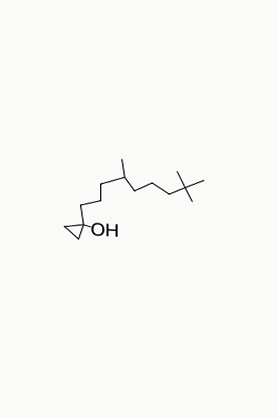 CC(CCCC(C)(C)C)CCCC1(O)CC1